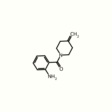 C=C1CCN(C(=O)c2ccccc2N)CC1